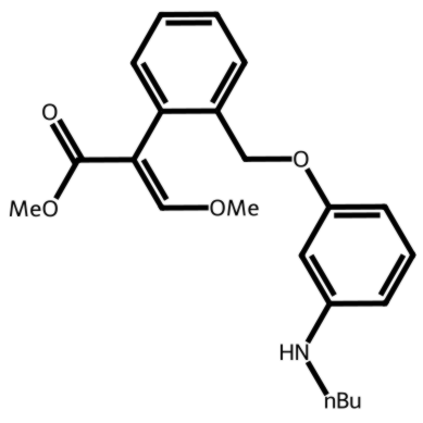 CCCCNc1cccc(OCc2ccccc2/C(=C\OC)C(=O)OC)c1